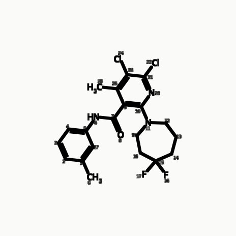 Cc1cccc(NC(=O)c2c(N3CCCC(F)(F)CC3)nc(Cl)c(Cl)c2C)c1